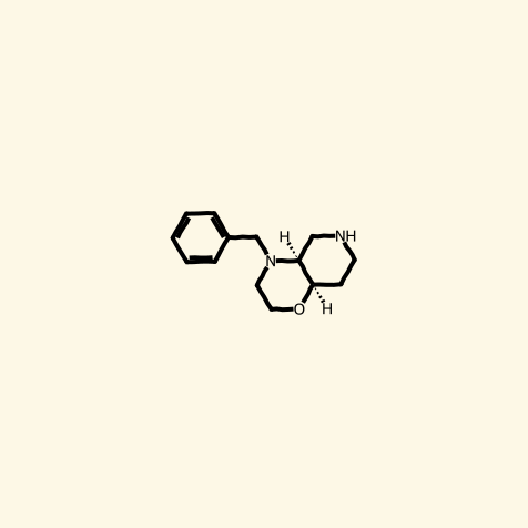 c1ccc(CN2CCO[C@@H]3CCNC[C@@H]32)cc1